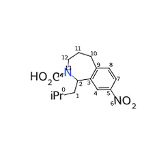 CC(C)CC1c2cc([N+](=O)[O-])ccc2CCCN1C(=O)O